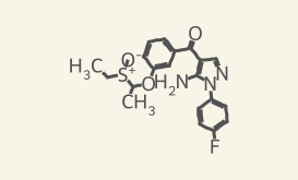 CC[S+]([O-])C(C)Oc1cccc(C(=O)c2cnn(-c3ccc(F)cc3)c2N)c1